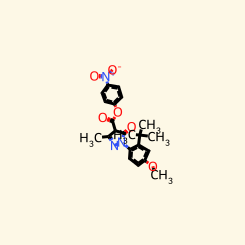 COc1ccc(N2N=C(C)C(C(=O)Oc3ccc([N+](=O)[O-])cc3)C2=O)c(C(C)(C)C)c1